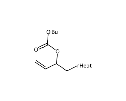 C=CC(CCCCCCCC)OC(=O)OCC(C)C